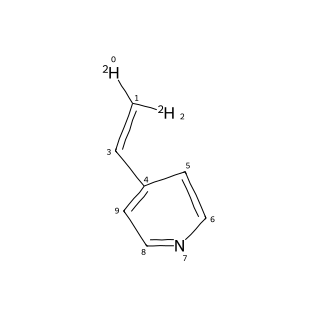 [2H]C([2H])=Cc1ccncc1